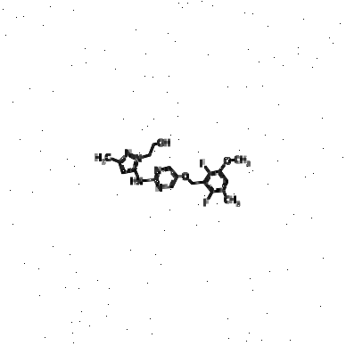 COc1cc(C)c(F)c(COc2cnc(Nc3cc(C)nn3CCO)nc2)c1F